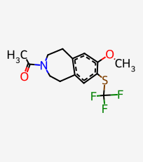 COc1cc2c(cc1SC(F)(F)F)CCN(C(C)=O)CC2